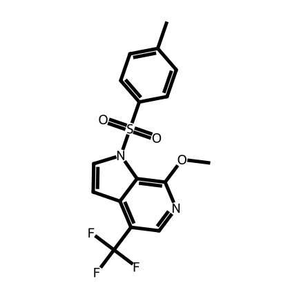 COc1ncc(C(F)(F)F)c2ccn(S(=O)(=O)c3ccc(C)cc3)c12